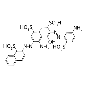 Nc1ccc(S(=O)(=O)O)c(N=Nc2c(S(=O)(=O)O)cc3c(S(=O)(=O)O)cc(N=Nc4ccc5ccccc5c4S(=O)(=O)O)c(N)c3c2O)c1